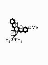 COc1ccc(C=c2c(=O)[nH]c(=Cc3ccccc3)c(=O)n2CC(=O)N(C)C)cc1